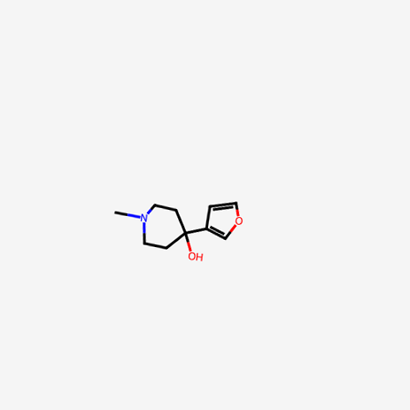 CN1CCC(O)(c2ccoc2)CC1